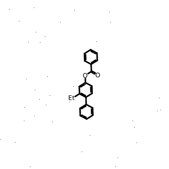 CCc1cc(OC(=O)c2ccccc2)ccc1-c1ccccc1